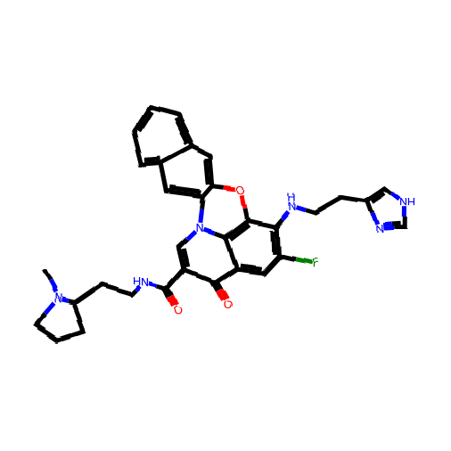 CN1CCCC1CCNC(=O)c1cn2c3c(c(NCCc4c[nH]cn4)c(F)cc3c1=O)Oc1cc3ccccc3cc1-2